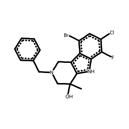 CC1(O)CN(Cc2ccccc2)Cc2c1[nH]c1c(F)c(Cl)cc(Br)c21